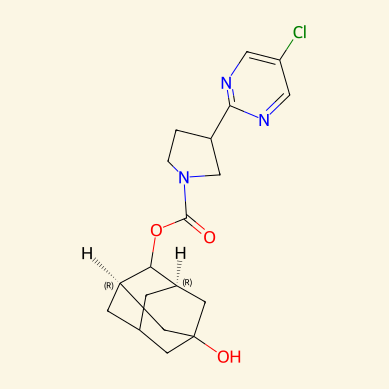 O=C(OC1[C@@H]2CC3C[C@@H]1CC(O)(C3)C2)N1CCC(c2ncc(Cl)cn2)C1